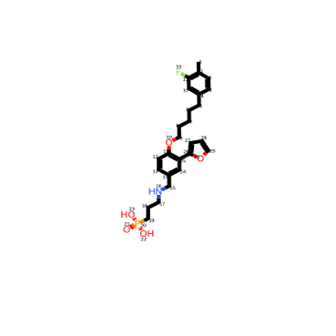 Cc1ccc(CCCCCOc2ccc(CNCCCP(=O)(O)O)cc2-c2ccco2)cc1F